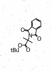 CC(C)(C)OC(=O)C(C)(C)N1C(=O)c2ccccc2C1=O